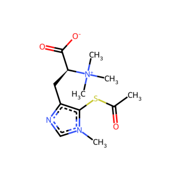 CC(=O)Sc1c(C[C@@H](C(=O)[O-])[N+](C)(C)C)ncn1C